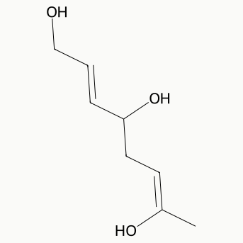 CC(O)=CCC(O)C=CCO